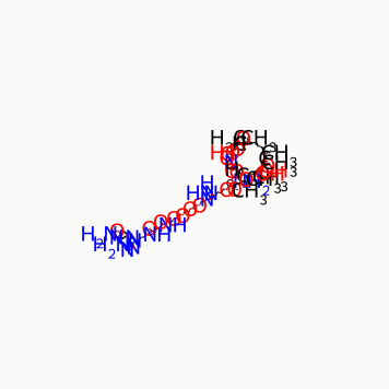 COC1C[C@@H]2CCC[C@@](O)(O2)C(=O)C(=O)N2CCCC[C@H]2C(=O)OC([C@H](N)CC2CCC(OCCCC/C(=C/NCCOCCOCCOCCOCCNC(=O)CCCC(=O)NCCCCn3nc(-c4ccc5oc(N)nc5c4)c4c(N)ncnc43)N=N)[C@H](OC)C2)CC(=O)C(C)/C=C(\C)[C@@H](O)[C@@H](O)C(=O)C(C)CC(C)/C=C/C=C/C=C/1C